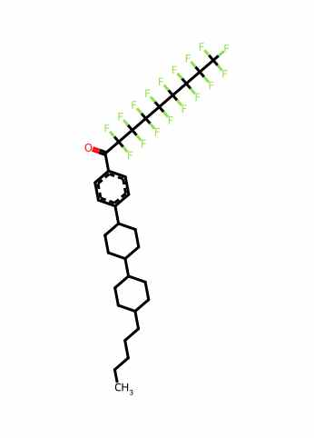 CCCCCC1CCC(C2CCC(c3ccc(C(=O)C(F)(F)C(F)(F)C(F)(F)C(F)(F)C(F)(F)C(F)(F)C(F)(F)C(F)(F)F)cc3)CC2)CC1